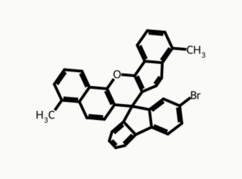 Cc1cccc2c3c(ccc12)C1(c2ccccc2-c2ccc(Br)cc21)c1ccc2c(C)cccc2c1O3